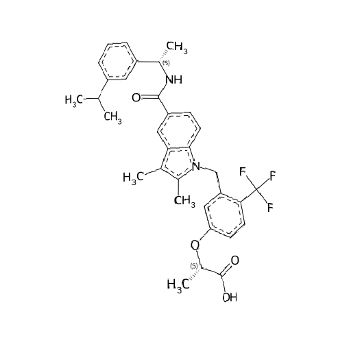 Cc1c(C)n(Cc2cc(O[C@@H](C)C(=O)O)ccc2C(F)(F)F)c2ccc(C(=O)N[C@@H](C)c3cccc(C(C)C)c3)cc12